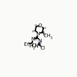 CCC(Cl)/N=C(\N=C(/N)Cl)N1CCOC[C@H]1C